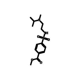 COC(=O)c1ccc(S(=O)(=O)NCCN(C)C(C)C)cc1